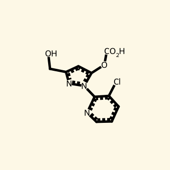 O=C(O)Oc1cc(CO)nn1-c1ncccc1Cl